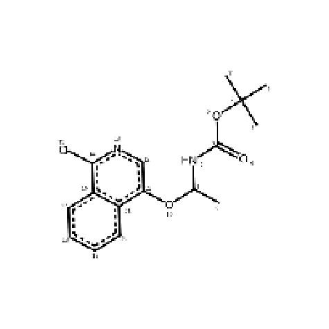 CC(NC(=O)OC(C)(C)C)Oc1cnc(Cl)c2ccccc12